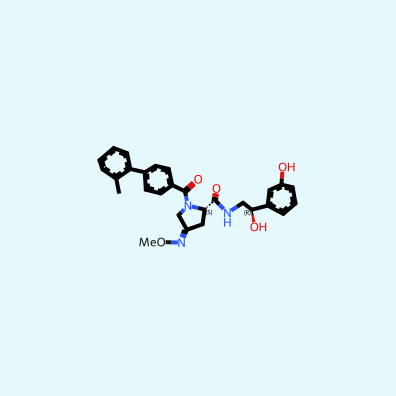 CON=C1C[C@@H](C(=O)NC[C@H](O)c2cccc(O)c2)N(C(=O)c2ccc(-c3ccccc3C)cc2)C1